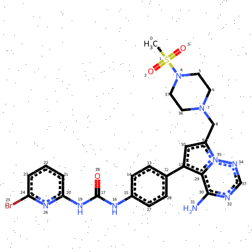 CS(=O)(=O)N1CCN(Cc2cc(-c3ccc(NC(=O)Nc4cccc(Br)n4)cc3)c3c(N)ncnn23)CC1